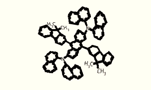 CC1(C)C2=C(CCC(c3c4cc(N(c5cccc6ccccc56)c5cccc6ccccc56)ccc4c(-c4ccc5c(c4)C(C)(C)c4ccccc4-5)c4cc(N(c5cccc6ccccc56)c5cccc6ccccc56)ccc34)=C2)c2ccccc21